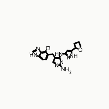 Nc1ncc(Cc2ccc3[nH]cnc3c2Cl)c(Nc2cc(C3CCCO3)[nH]n2)n1